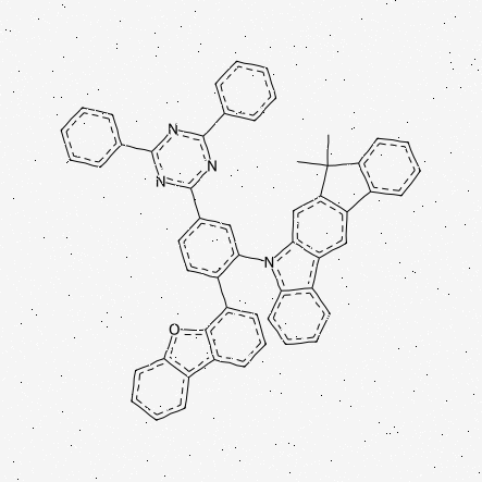 CC1(C)c2ccccc2-c2cc3c4ccccc4n(-c4cc(-c5nc(-c6ccccc6)nc(-c6ccccc6)n5)ccc4-c4cccc5c4oc4ccccc45)c3cc21